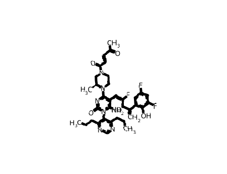 C=C(c1cc(F)cc(F)c1O)[C@@H](O)/C(F)=C\c1c(N2CCN(C(=O)/C=C/C(C)=O)C[C@@H]2C)nc(=O)n(-c2c(CCC)ncnc2CCC)c1N